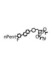 C=C(C)C(=O)OCC(COC(=O)C(=C)CN(C)C)CC1CCC(c2ccc3cc(-c4ccc(CCCCC)c(F)c4)ccc3c2)CC1